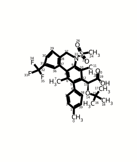 Cc1ccc(-c2c(C)c3c(c(C)c2[C@H](OC(C)(C)C)C(=O)O)N(S(C)(=O)=O)Cc2ccc(C(F)(F)F)cc2-3)cc1